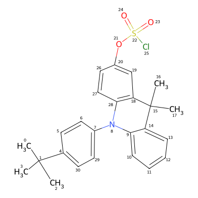 CC(C)(C)c1ccc(N2c3ccccc3C(C)(C)c3cc(OS(=O)(=O)Cl)ccc32)cc1